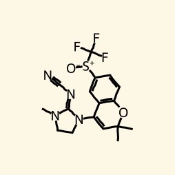 CN1CCN(C2=CC(C)(C)Oc3ccc([S+]([O-])C(F)(F)F)cc32)C1=NC#N